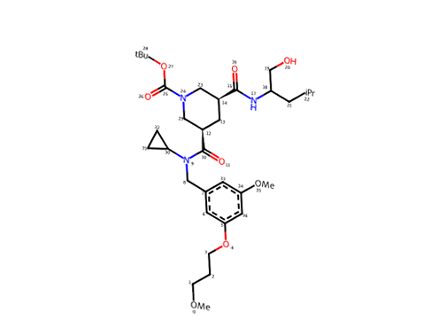 COCCCOc1cc(CN(C(=O)[C@@H]2C[C@H](C(=O)NC(CO)CC(C)C)CN(C(=O)OC(C)(C)C)C2)C2CC2)cc(OC)c1